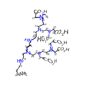 CNCCNCCN(CCNCCN(CCN(C)CC(=O)O)CCN(CC(=O)O)CC(=O)O)CCN(CCN(CC(=O)O)CC(=O)O)CC(=O)O